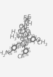 COc1ccc([C@H](NC(=O)[C@H](Cc2ccc(CN)cc2)NC(=O)c2cccc(Cl)c2)C(=O)N[C@H](C(=O)C(F)(F)C(=O)NCC(F)(F)F)C(C)C)cc1